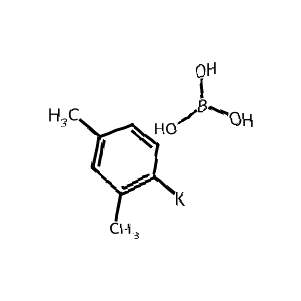 Cc1cc[c]([K])c(C)c1.OB(O)O